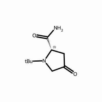 CC(C)(C)N1CC(=O)C[C@H]1C(N)=O